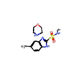 C1COCCN1.CCCNS(=O)(=O)c1nc2cc([N+](=O)[O-])ccc2[nH]1